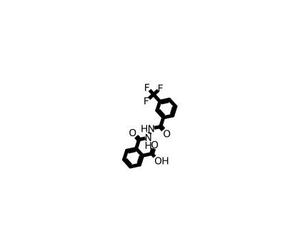 O=C(NNC(=O)c1ccccc1C(=O)O)c1cccc(C(F)(F)F)c1